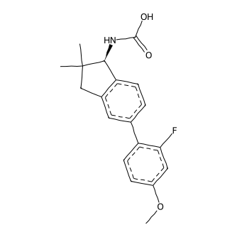 COc1ccc(-c2ccc3c(c2)CC(C)(C)[C@H]3NC(=O)O)c(F)c1